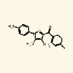 Bc1ccc(-n2nc(C(=O)C3=CC=C(C)CC3)c(N)c2N)cc1